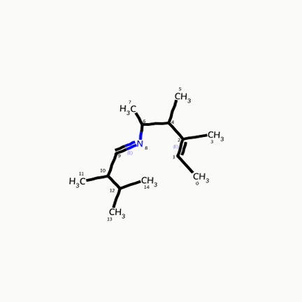 C/C=C(\C)C(C)C(C)/N=C/C(C)C(C)C